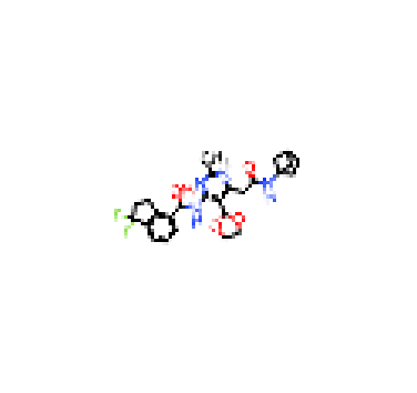 Cc1nc(CC(=O)NC23CCC(C2)C3)c(C2OCCO2)c(NC(O)c2cccc3c2CCC3(F)F)n1